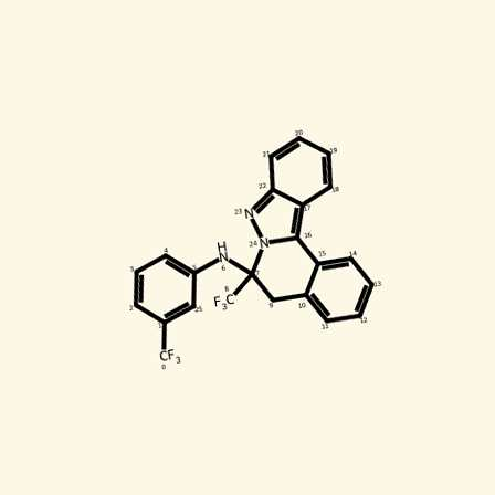 FC(F)(F)c1cccc(NC2(C(F)(F)F)Cc3ccccc3-c3c4ccccc4nn32)c1